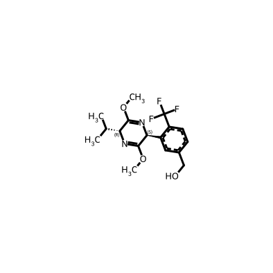 COC1=N[C@H](C(C)C)C(OC)=N[C@H]1c1cc(CO)ccc1C(F)(F)F